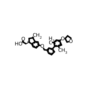 C=C1C[C@H](CC(=O)O)c2ccc(OCc3cccc(-c4c(C)cc(OC5CCOC5)cc4C)c3)cc21